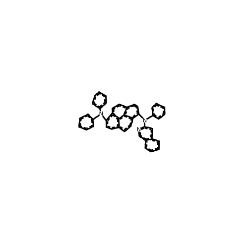 c1ccc(N(c2ccccc2)c2ccc3ccc4c(N(c5ccccc5)c5cc6ccccc6cn5)ccc5ccc2c3c54)cc1